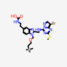 CSc1nc(NCc2nc3cc(CCNC(=O)O)ccc3n2COCC[Si](C)(C)C)n2ncc(Br)c2n1